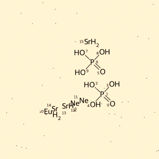 O=P(O)(O)O.O=P(O)(O)O.[Eu].[Ne].[Ne].[SrH2].[SrH2].[SrH2]